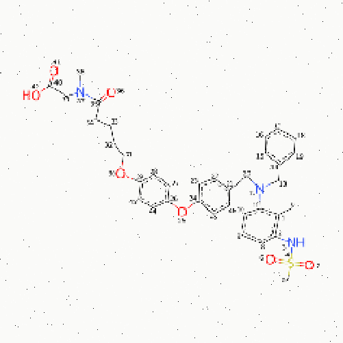 Cc1c(NS(C)(=O)=O)cccc1N(Cc1ccccc1)Cc1ccc(Oc2ccc(OCCCCC(=O)N(C)CC(=O)O)cc2)cc1